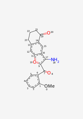 COc1ccccc1C(=O)c1oc2cc3c(cc2c1N)C(=O)CCC3